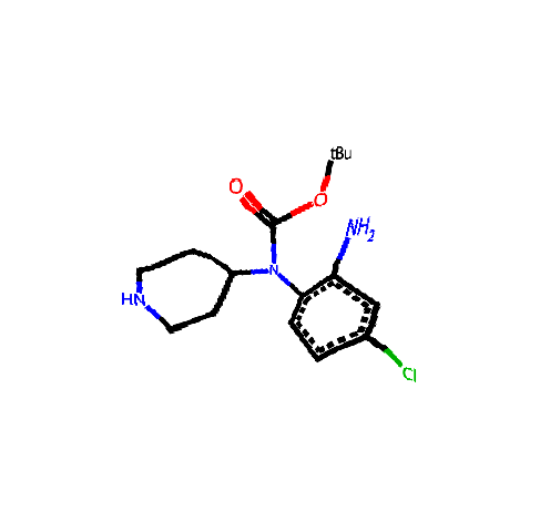 CC(C)(C)OC(=O)N(c1ccc(Cl)cc1N)C1CCNCC1